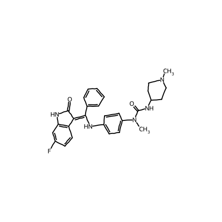 CN1CCC(NC(=O)N(C)c2ccc(NC(=C3C(=O)Nc4cc(F)ccc43)c3ccccc3)cc2)CC1